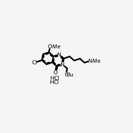 CNCCCCc1nc2c(OC)cc(Cl)cc2c(=O)n1CC(C)(C)C.Cl.Cl